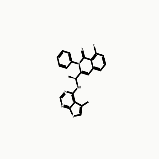 Cc1csc2ncnc(N[C@@H](C)c3cc4cccc(Cl)c4c(=O)n3-c3ccccc3)c12